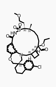 CCO[C@]1(C=O)CCC[C@H](C)[C@@H](CCOC)S(=O)(=O)NC(=O)c2ccc3c(c2)N(C[C@@H]2CC[C@H]21)C[C@@]1(CCCc2cc(Cl)ccc21)CO3